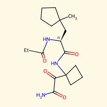 CCC(=O)N[C@@H](CC1(C)CCCC1)C(=O)NC1(C(=O)C(N)=O)CCC1